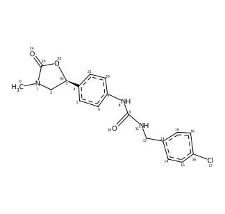 CN1C[C@H](c2ccc(NC(=O)NCc3ccc(Cl)cc3)cc2)OC1=O